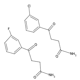 NC(=O)CCC(=O)c1cccc(Cl)c1.NC(=O)CCC(=O)c1cccc(F)c1